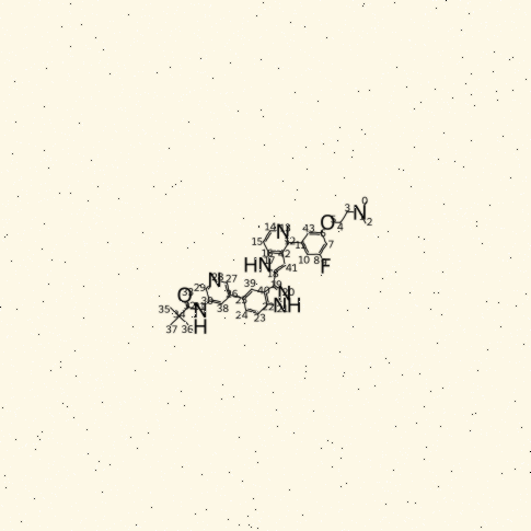 CN(C)CCOc1cc(F)cc(-c2nccc3[nH]c(-c4n[nH]c5ccc(-c6cncc(NC(=O)C(C)(C)C)c6)cc45)cc23)c1